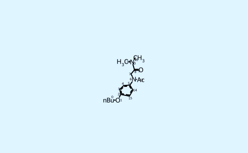 CCCCOc1ccc(N(CC(=O)N(C)C)C(C)=O)cc1